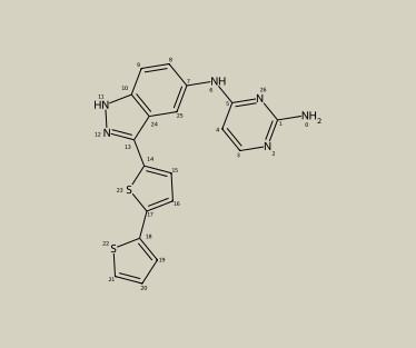 Nc1nccc(Nc2ccc3[nH]nc(-c4ccc(-c5cccs5)s4)c3c2)n1